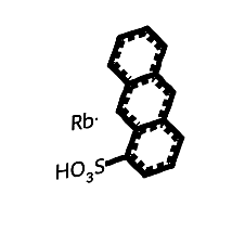 O=S(=O)(O)c1cccc2cc3ccccc3cc12.[Rb]